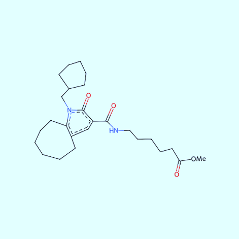 COC(=O)CCCCCNC(=O)c1cc2c(n(CC3CCCCC3)c1=O)CCCCCC2